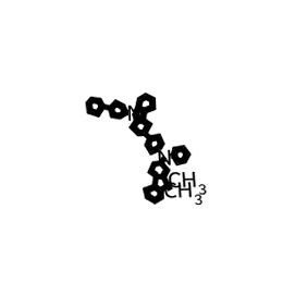 CC1(C)C2=CC(N(c3ccccc3)c3ccc(-c4ccc5c(c4)c4ccccc4n5-c4ccc(-c5ccccc5)cc4)cc3)CC=C2c2ccccc21